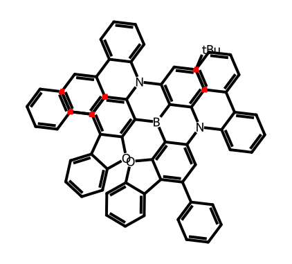 CC(C)(C)c1cc2c3c(c1)N(c1ccccc1-c1ccccc1)c1cc(-c4ccccc4)c4c(oc5ccccc54)c1B3c1c(cc(-c3ccccc3)c3c1oc1ccccc13)N2c1ccccc1-c1ccccc1